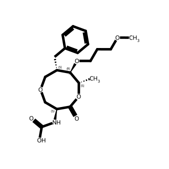 COCCCO[C@@H]1[C@@H](Cc2ccccc2)COC[C@H](NC(=O)O)C(=O)O[C@H]1C